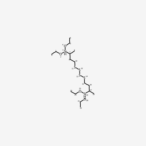 CCO[SiH](OCC)C(C)CCSSSSCCC(C)[SiH](OCC)OCC